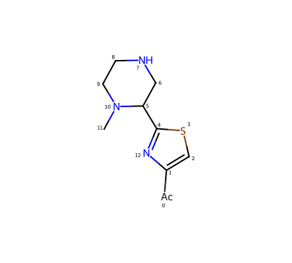 CC(=O)c1csc(C2CNCCN2C)n1